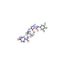 Cn1cc2c(c1C(=O)Nc1cc(F)c(F)c(F)c1)OC[C@H]1CN(C(=O)c3c[nH]c(=O)cn3)C[C@H]1NS2